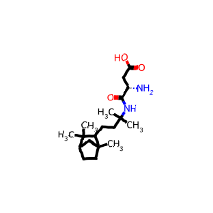 CC(C)(CCC1C2(C)CCC(C2)C1(C)C)NC(=O)[C@@H](N)CC(=O)O